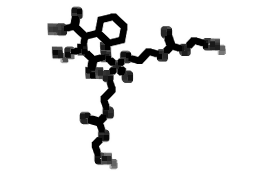 CCOC(=O)OCCOP(=O)(NC(=N)N(C)C(C(=O)O)C1CCCCC1)OCCOC(=O)OCC